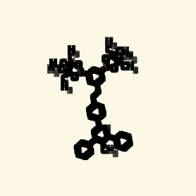 Cc1c(-c2ccccc2)cc(-c2ccc(CCc3cc(B4OC(C)(C)C(C)(C)O4)cc(B4OC(C)(C)C(C)(C)O4)c3)cc2)nc1-c1ccccc1